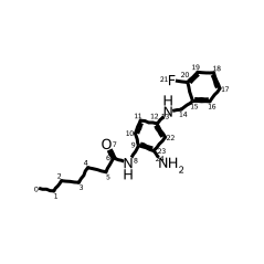 CCCCCCC(=O)Nc1ccc(NCc2ccccc2F)cc1N